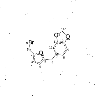 BrCc1ccc(Cc2ccc3c(c2)OCO3)o1